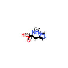 N[C@H](Cc1cnc[nH]1)C(=O)O.[Cd]